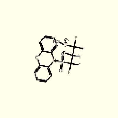 O=S(=O)(O)C(F)(F)C(F)(F)C(F)(F)S(=O)(=O)N1c2ccccc2Oc2ccccc21